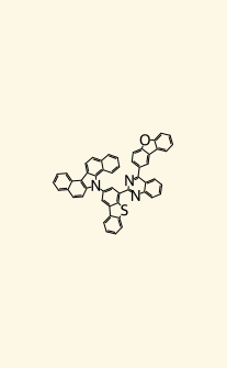 c1ccc2c(c1)ccc1c2c2ccc3ccccc3c2n1-c1cc(-c2nc(-c3ccc4oc5ccccc5c4c3)c3ccccc3n2)c2sc3ccccc3c2c1